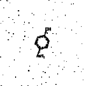 Oc1ccc([AsH2])cc1